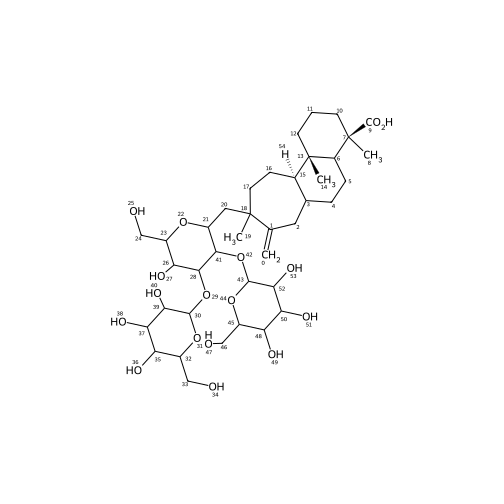 C=C1CC2CCC3[C@](C)(C(=O)O)CCC[C@@]3(C)[C@@H]2CCC1(C)CC1OC(CO)C(O)C(OC2OC(CO)C(O)C(O)C2O)C1OC1OC(CO)C(O)C(O)C1O